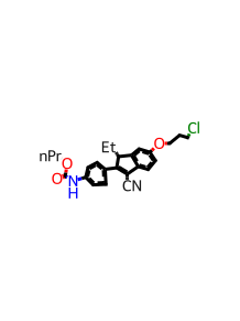 CCCOC(=O)Nc1ccc(C2=C(C#N)c3ccc(OCCCCl)cc3C2CC)cc1